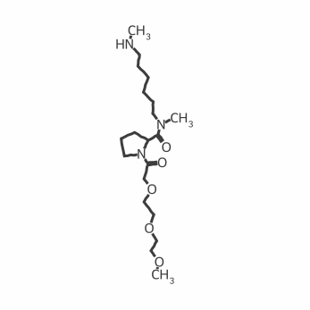 CNCCCCCCN(C)C(=O)C1CCCN1C(=O)COCCOCCOC